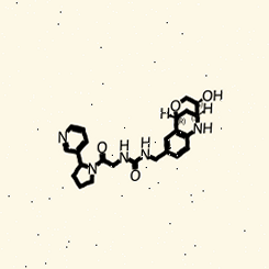 O=C(NCC(=O)N1CCCC1c1cccnc1)NCc1ccc2c(c1)[C@H]1C[C@H](N2)[C@H](O)CO1